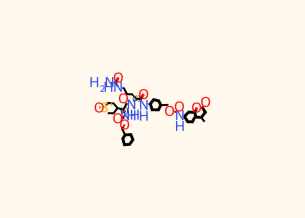 Cc1cc(=O)oc2cc(NC(=O)OCc3ccc(NC(=O)[C@H](CCCNC(N)=O)NC(=O)[C@@H](NC(=O)OCc4ccccc4)C4CC[S+]([O-])CC4)cc3)ccc12